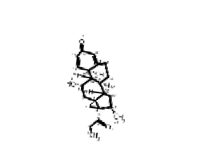 CCC(=O)[C@]12C[C@@]13C[C@H](O)[C@H]1[C@@H](CCC4=CC(=O)C=C[C@@]41C)[C@@H]3C[C@H]2C